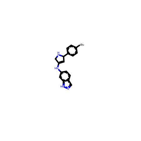 CC(C)(C)c1ccc(C2C=C(Nc3ccc4cn[nH]c4c3)CN2)cc1